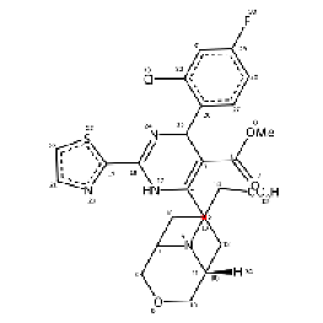 COC(=O)C1=C(CN2C3COC[C@H]2CC(CC(=O)O)C3)NC(c2nccs2)=NC1c1ccc(F)cc1Cl